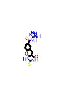 O=C(Nc1nnn[nH]1)c1ccc2c(c1)Cc1c([nH]c(=S)[nH]c1=O)O2